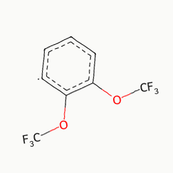 FC(F)(F)Oc1[c]cccc1OC(F)(F)F